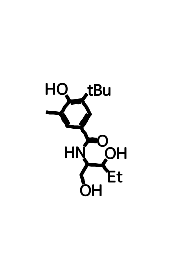 CCC(O)C(CO)NC(=O)c1cc(C)c(O)c(C(C)(C)C)c1